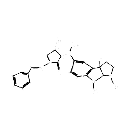 C[C@H]1CN(OCc2ccccc2)C(=O)[C@H]1N(C(=O)O)c1ccc2c(c1)[C@]1(C)CCN(C)C1N2C